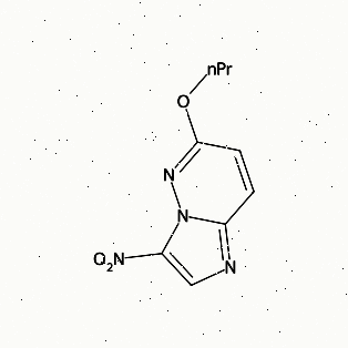 CCCOc1ccc2ncc([N+](=O)[O-])n2n1